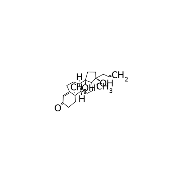 C=CC[C@@]1(O)CC[C@@]2(O)[C@@H]3CCC4=CC(=O)CC[C@]4(C)[C@H]3CC[C@]12C